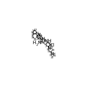 Nc1nc(Nc2ccc(N3CCC(N4CCCC4)CC3)c(Cl)c2)nn1-c1cc2c(nn1)-c1ccccc1CCC2